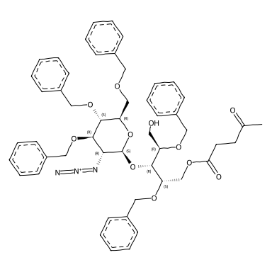 CC(=O)CCC(=O)OC[C@H](OCc1ccccc1)[C@H](O[C@@H]1O[C@H](COCc2ccccc2)[C@@H](OCc2ccccc2)[C@H](OCc2ccccc2)[C@H]1N=[N+]=[N-])[C@@H](CO)OCc1ccccc1